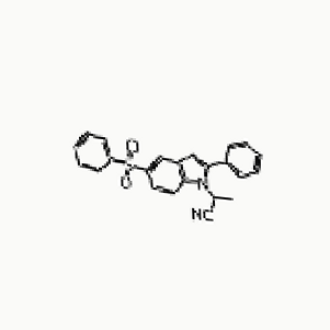 CC(C#N)n1c(-c2ccccc2)cc2cc(S(=O)(=O)c3ccccc3)ccc21